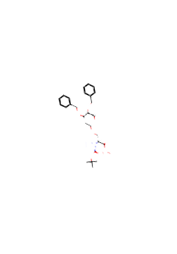 COC(=O)[C@H](COCC[C@H](OCc1ccccc1)[C@@H](OCc1ccccc1)[C@H](C)O)NC(=O)OC(C)(C)C